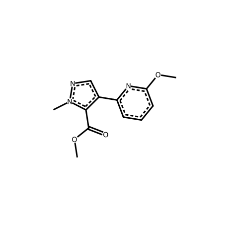 COC(=O)c1c(-c2cccc(OC)n2)cnn1C